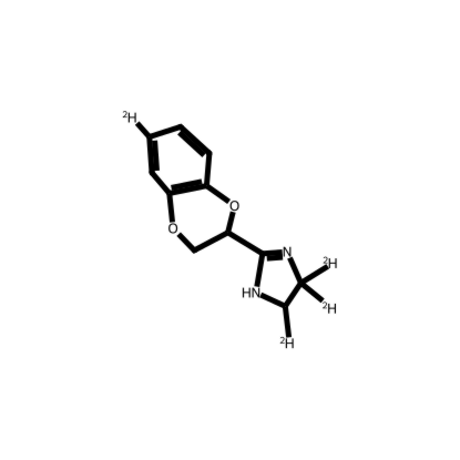 [2H]c1ccc2c(c1)OCC(C1=NC([2H])([2H])C([2H])N1)O2